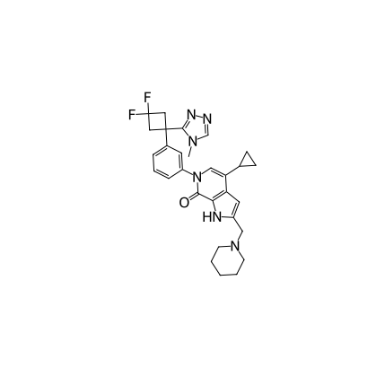 Cn1cnnc1C1(c2cccc(-n3cc(C4CC4)c4cc(CN5CCCCC5)[nH]c4c3=O)c2)CC(F)(F)C1